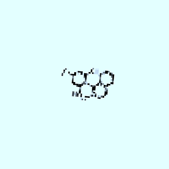 Cc1cc(C)c(-c2c(C#N)ccc3ccccc23)c(O)c1